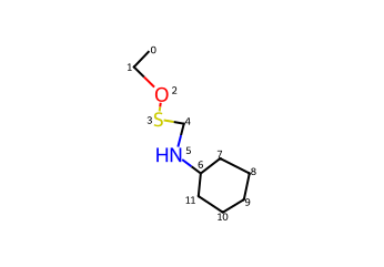 CCOSCNC1CCCCC1